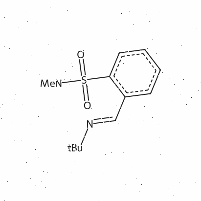 CNS(=O)(=O)c1ccccc1/C=N/C(C)(C)C